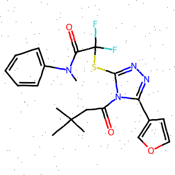 CN(C(=O)C(F)(F)Sc1nnc(-c2ccoc2)n1C(=O)CC(C)(C)C)c1ccccc1